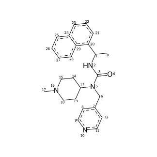 CC(NC(=O)N(Cc1ccncc1)C1CCN(C)CC1)c1cccc2ccccc12